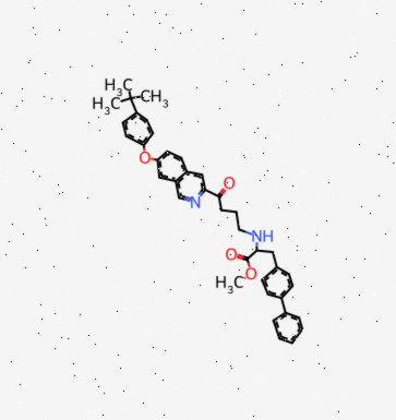 COC(=O)C(Cc1ccc(-c2ccccc2)cc1)NCCCC(=O)c1cc2ccc(Oc3ccc(C(C)(C)C)cc3)cc2cn1